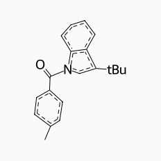 Cc1ccc(C(=O)n2cc(C(C)(C)C)c3ccccc32)cc1